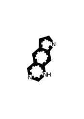 [c]1ncc2cc3ccnc3cc2[nH]1